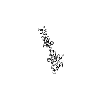 CC(C)(C)OC(=O)CN1CCN(C(=O)NCCCC[C@H](NC(=O)OC(C)(C)C)C(=O)OCc2cc(Cl)nc(Cl)c2)CC1